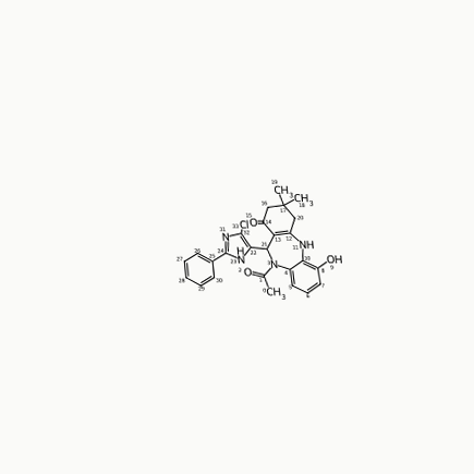 CC(=O)N1c2cccc(O)c2NC2=C(C(=O)CC(C)(C)C2)C1c1[nH]c(-c2ccccc2)nc1Cl